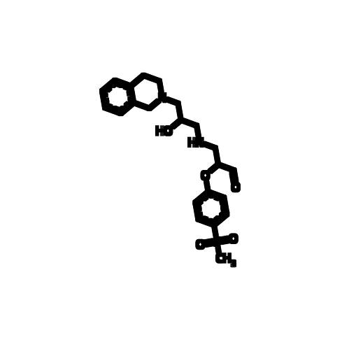 CS(=O)(=O)c1ccc(OC(C=O)CNCC(O)CN2CCc3ccccc3C2)cc1